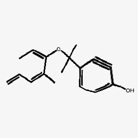 C=C/C=C(C)\C(=C/C)OC(C)(C)c1c#cc(O)cc1